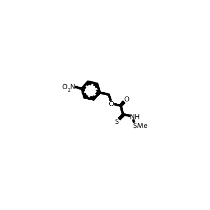 CSNC(=S)C(=O)OCc1ccc([N+](=O)[O-])cc1